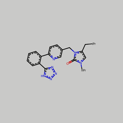 CCCn1cc(CC(C)C)n(Cc2ccc(-c3ccccc3-c3nnn[nH]3)nc2)c1=O